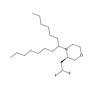 CCCCCCCC(CCCCCC)N1CCOC[C@H]1CC(F)F